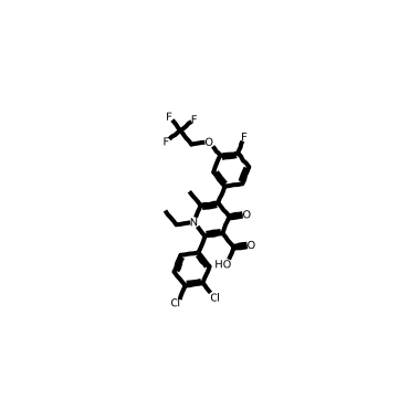 CCn1c(C)c(-c2ccc(F)c(OCC(F)(F)F)c2)c(=O)c(C(=O)O)c1-c1ccc(Cl)c(Cl)c1